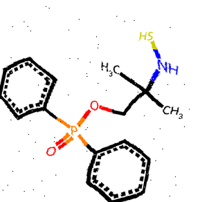 CC(C)(COP(=O)(c1ccccc1)c1ccccc1)NS